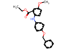 CCOC(=O)c1cc(OC)ccc1Nc1ccc(OCc2ccccc2)cc1